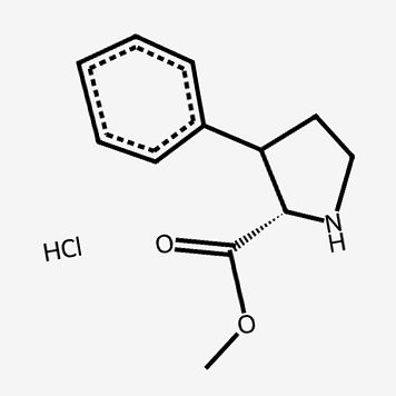 COC(=O)[C@H]1NCCC1c1ccccc1.Cl